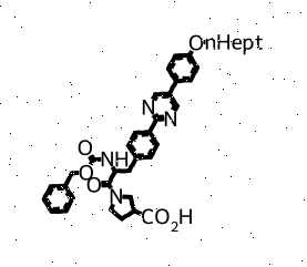 CCCCCCCOc1ccc(-c2cnc(-c3ccc(CC(NC(=O)OCc4ccccc4)C(=O)N4CCC(C(=O)O)C4)cc3)nc2)cc1